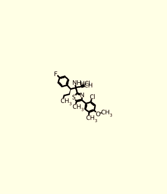 C#CC(N)(c1nc(-c2cc(C)c(OC)cc2Cl)c(C)s1)[C@@H](CCC)c1ccc(F)cc1.Cl